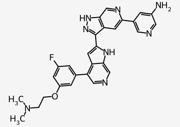 CN(C)CCOc1cc(F)cc(-c2cncc3[nH]c(-c4n[nH]c5cnc(-c6cncc(N)c6)cc45)cc23)c1